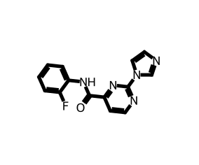 O=C(Nc1ccccc1F)c1ccnc(-n2ccnc2)n1